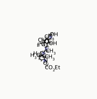 CCOC(=O)CO/N=C1\CC[C@@H](C)[C@](C)(/C=C/C(C)=C/Cc2c(O)c(/C=N/O)c(C)c(Cl)c2OCF)[C@H]1C